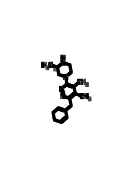 Cc1c(CC2=CCCC=C2)nnc(N2CCN[C@H](C)C2)c1C